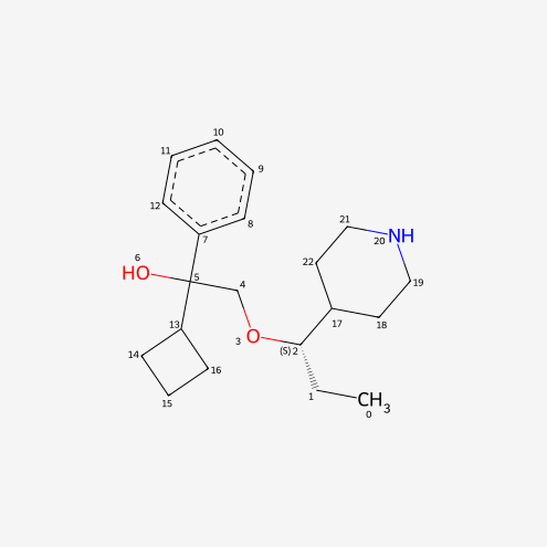 CC[C@H](OCC(O)(c1ccccc1)C1CCC1)C1CCNCC1